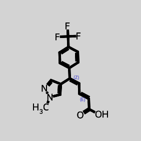 Cn1cc(/C(=C\C=C\C(=O)O)c2ccc(C(F)(F)F)cc2)cn1